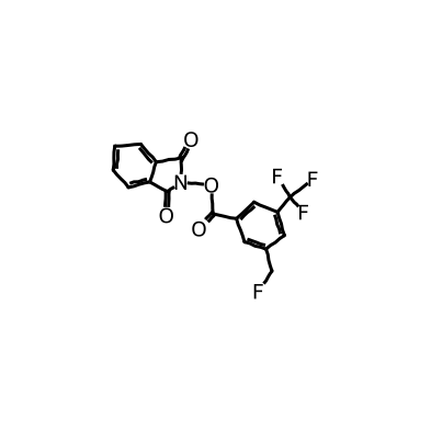 O=C(ON1C(=O)c2ccccc2C1=O)c1cc(CF)cc(C(F)(F)F)c1